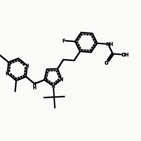 Cc1cnc(Nc2cc(CCc3cc(NC(=O)O)ccc3F)nn2C(C)(C)C)c(C)n1